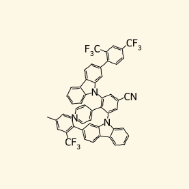 Cc1ccc(-c2ccc3c4ccccc4n(-c4cc(C#N)cc(-n5c6ccccc6c6ccc(-c7ccc(C(F)(F)F)cc7C(F)(F)F)cc65)c4-c4ccncc4)c3c2)c(C(F)(F)F)c1